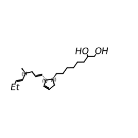 CCC=C[C@@H](C)CC=C[C@H]1C=CC[C@@H]1CCCCCCC(O)CO